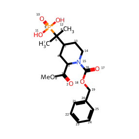 COC(=O)C1CC(C(C)(C)P(=O)(O)O)CCN1C(=O)OCc1ccccc1